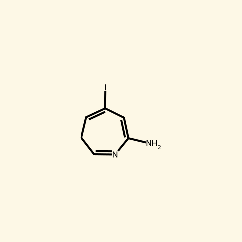 NC1=CC(I)=CCC=N1